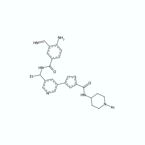 CCC(NC(=O)c1ccc(N)c(C=N)c1)c1cncc(-c2csc(C(=O)NC3CCN(C(C)=O)CC3)c2)c1